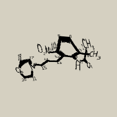 CC1(C)C(=O)Nc2c1ccc([N+](=O)[O-])c2CCCN1CCOCC1